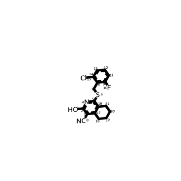 N#Cc1c(O)nc(SCc2c(F)cccc2Cl)c2c1CCCC2